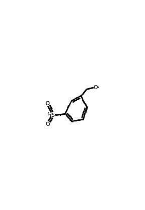 [O]Cc1cccc([SH](=O)=O)c1